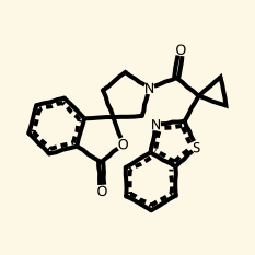 O=C1OC2(CCN(C(=O)C3(c4nc5ccccc5s4)CC3)C2)c2ccccc21